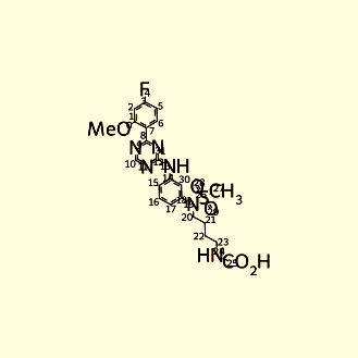 COc1cc(F)ccc1-c1ncnc(Nc2cccc(N(CCCCNC(=O)O)S(C)(=O)=O)c2)n1